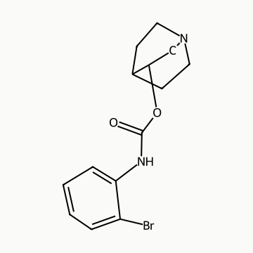 O=C(Nc1ccccc1Br)OC1CN2CCC1CC2